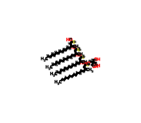 CCCCCCCCCCCCCC(C)CC(O)=S.CCCCCCCCCCCCCC(C)CC(O)=S.CCCCCCCCCCCCCC(C)CC(O)=S.CCCCCCCCCCCCCC(C)CC(O)=S.OCC(CO)(CO)CO